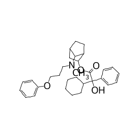 CN(CCCOc1ccccc1)C1C2CCC1C(OC(=O)C(O)(c1ccccc1)C1CCCCC1)C2